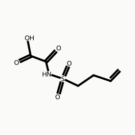 C=CCCS(=O)(=O)NC(=O)C(=O)O